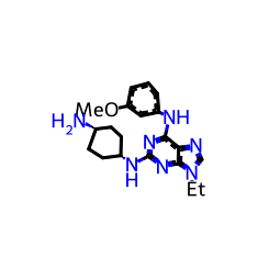 CCn1cnc2c(Nc3cccc(OC)c3)nc(N[C@H]3CC[C@H](N)CC3)nc21